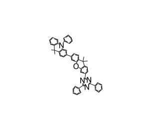 CC1(C)c2ccc(-c3ccc4c(c3)N(c3ccccc3)c3ccccc3C4(C)C)cc2Oc2cc(-c3nc(-c4ccccc4)nc(-c4ccccc4)n3)ccc21